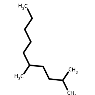 CCCCCC(C)CC[C](C)C